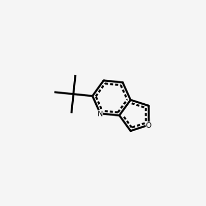 CC(C)(C)c1ccc2cocc2n1